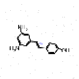 Nc1cc(N)cc(/C=C/c2ccc(O)cc2)c1